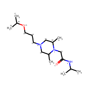 CC(C)NC(=O)CN1C(C)CN(CCCOC(C)C)CC1C